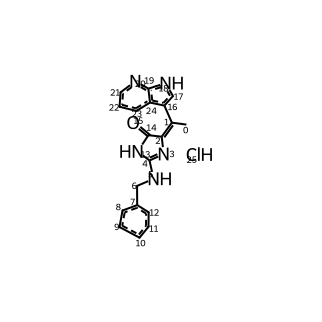 CC(=C1N=C(NCc2ccccc2)NC1=O)c1c[nH]c2ncccc12.Cl